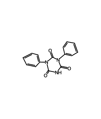 O=c1[nH]c(=O)n(-c2ccccc2)c(=O)n1-c1ccccc1